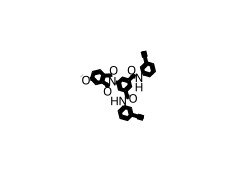 C#Cc1cccc(NC(=O)c2cc(C(=O)Nc3cccc(C#C)c3)cc(N3C(=O)c4ccc(OC)cc4C3=O)c2)c1